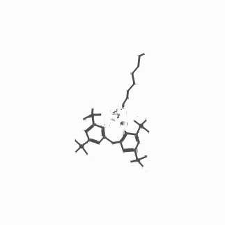 CCCCCCCCOP1(=O)Oc2c(cc(C(C)(C)C)cc2C(C)(C)C)Cc2cc(C(C)(C)C)cc(C(C)(C)C)c2O1